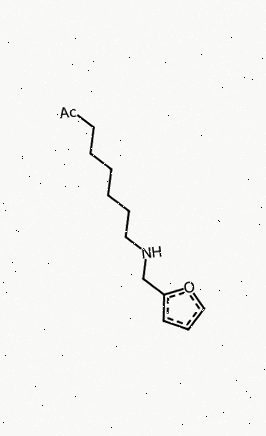 CC(=O)CCCCCCNCc1ccco1